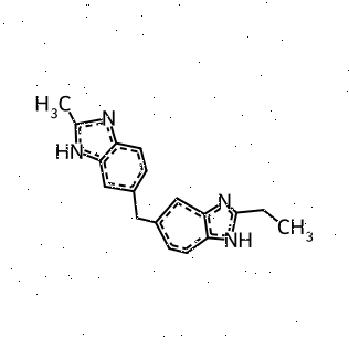 CCc1nc2cc(Cc3ccc4nc(C)[nH]c4c3)ccc2[nH]1